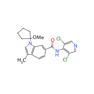 COC1(n2cc(C)c3ccc(C(=O)Nc4c(Cl)cncc4Cl)cc32)CCCC1